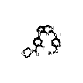 CC(C)Oc1ccc(Nc2ncc3ccn(-c4ccc(C(=O)N5CCOCC5)c(F)c4)c3n2)cn1